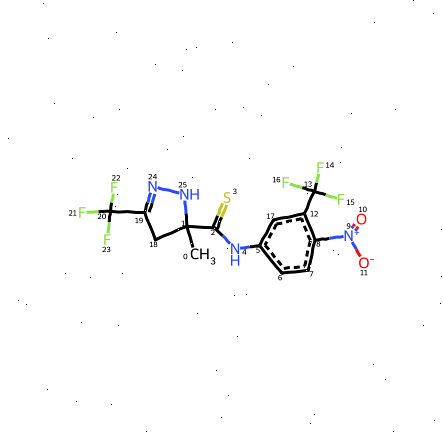 CC1(C(=S)Nc2ccc([N+](=O)[O-])c(C(F)(F)F)c2)CC(C(F)(F)F)=NN1